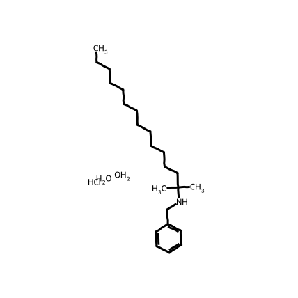 CCCCCCCCCCCCCC(C)(C)NCc1ccccc1.Cl.O.O